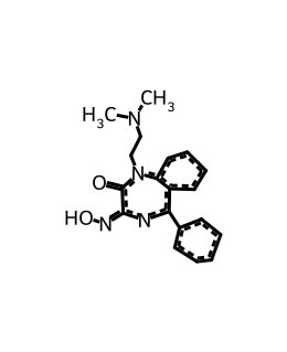 CN(C)CCn1c(=O)c(=NO)nc(-c2ccccc2)c2ccccc21